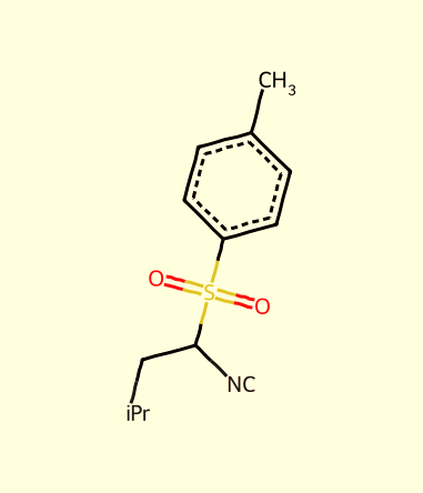 [C-]#[N+]C(CC(C)C)S(=O)(=O)c1ccc(C)cc1